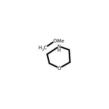 C1COCCN1.COC